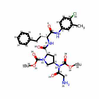 Cc1cc(NC(=O)[C@@H](CCc2ccccc2)NC(=O)[C@@H]2C[C@@H](N(C(=O)CN)C(=O)OC(C)(C)C)CN2C(=O)OC(C)(C)C)ccc1Cl